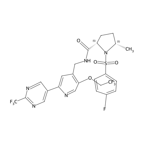 C[C@H]1CC[C@@H](C(=O)NCc2cc(-c3cnc(C(F)(F)F)nc3)ncc2OCC(F)(F)F)N1S(=O)(=O)c1ccc(F)cc1